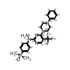 CP(C)(=O)c1ccc(N(N)c2ncc(C(F)(F)F)c(N3CCN(c4ccccc4)CC3)n2)cc1